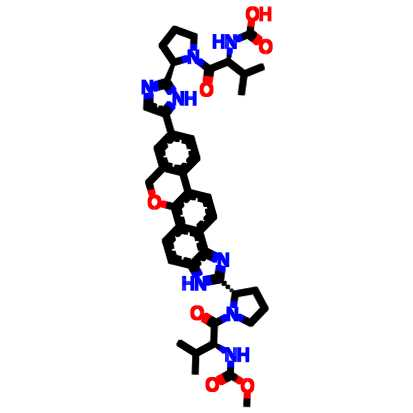 COC(=O)N[C@H](C(=O)N1CCC[C@H]1c1nc2c(ccc3c4c(ccc32)-c2ccc(-c3cnc([C@H]5CCCN5C(=O)[C@@H](NC(=O)O)C(C)C)[nH]3)cc2CO4)[nH]1)C(C)C